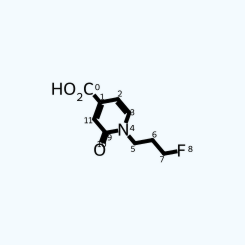 O=C(O)c1ccn(CCCF)c(=O)c1